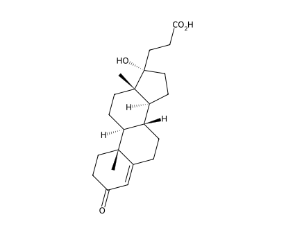 C[C@]12CCC(=O)C=C1CC[C@@H]1[C@@H]2CC[C@@]2(C)[C@H]1CC[C@]2(O)CCC(=O)O